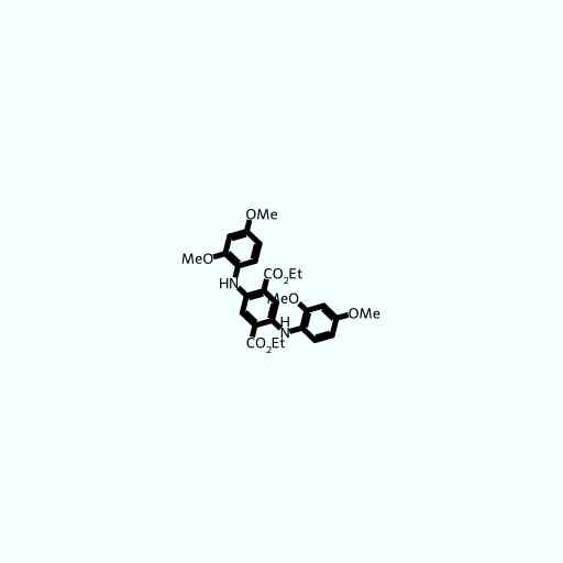 CCOC(=O)c1cc(Nc2ccc(OC)cc2OC)c(C(=O)OCC)cc1Nc1ccc(OC)cc1OC